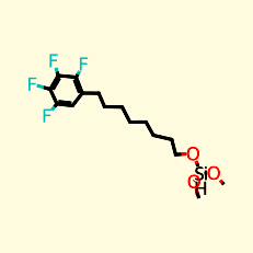 CO[SiH](OC)OCCCCCCCCc1cc(F)c(F)c(F)c1F